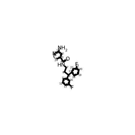 Nc1cc(C(=O)NCCC(c2cccc(F)c2)c2cccc(F)c2)ccn1